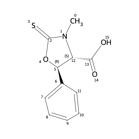 CN1C(=S)O[C@H](c2ccccc2)[C@H]1C(=O)O